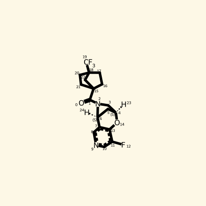 O=C(N1C[C@@H]2C[C@H]1c1cncc(F)c1O2)C12CCC(C(F)(F)F)(CC1)C2